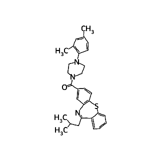 Cc1ccc(N2CCN(C(=O)c3ccc4c(c3)N=C(CC(C)C)c3ccccc3S4)CC2)c(C)c1